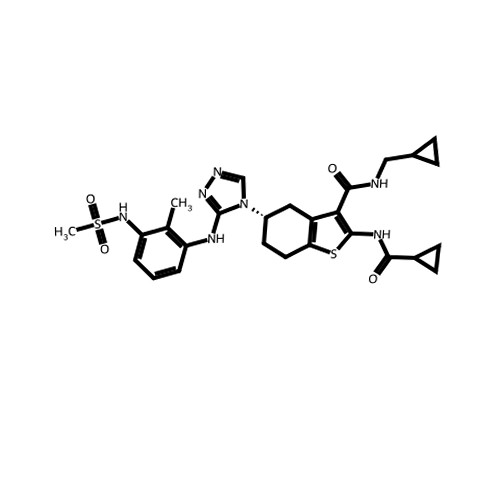 Cc1c(Nc2nncn2[C@H]2CCc3sc(NC(=O)C4CC4)c(C(=O)NCC4CC4)c3C2)cccc1NS(C)(=O)=O